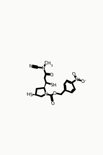 CN(C#N)C(=O)CC(S)[C@@H]1C[C@H](S)CN1C(=O)OCc1ccc([N+](=O)[O-])cc1